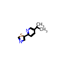 CC(C)c1ccc(-c2cncs2)nc1